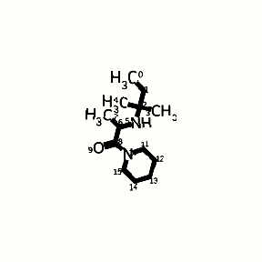 CCC(C)(C)NC(C)C(=O)N1CCCCC1